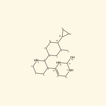 CC1CC(C2NCCCC2C2=CCNC(O)N2)CCC1C1CC1